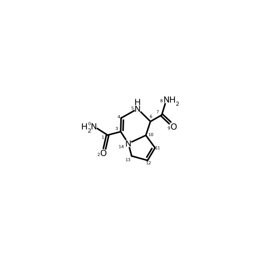 NC(=O)C1=CNC(C(N)=O)C2C=CCN12